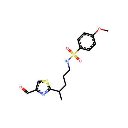 COc1ccc(S(=O)(=O)NCCCC(C)c2nc(C=O)cs2)cc1